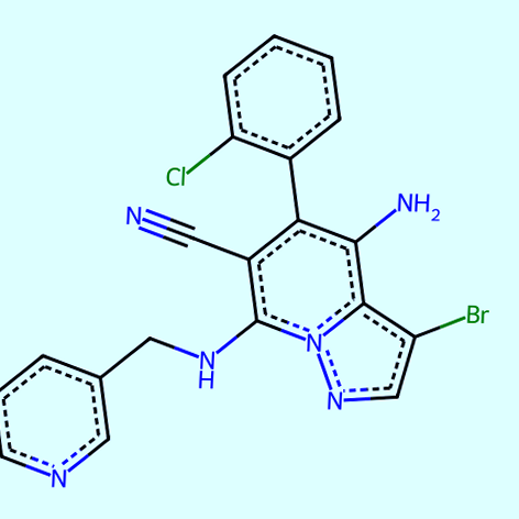 N#Cc1c(-c2ccccc2Cl)c(N)c2c(Br)cnn2c1NCc1cccnc1